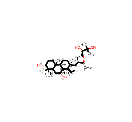 CO[C@H]1O[C@@H]([C@H](O)C(C)(C)O)C[C@@H]1[C@@H]1CC=C2[C@]3(C)[C@H](O)C[C@H]4C(C)(C)[C@H](O)CC[C@]4(C)[C@H]3CC[C@]21C